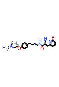 CN(C)CCOc1ccc(CCCCNC(=O)/C(C#N)=C/c2cccc(Br)n2)cc1